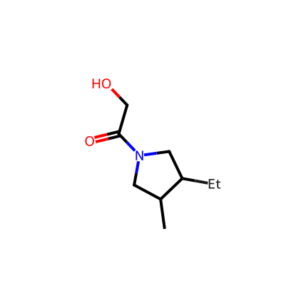 CCC1CN(C(=O)CO)CC1C